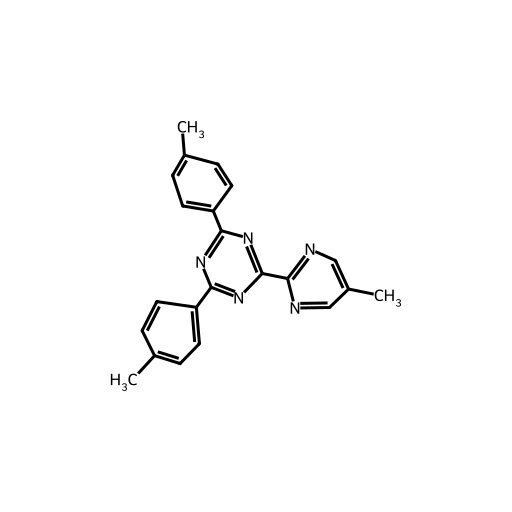 Cc1ccc(-c2nc(-c3ccc(C)cc3)nc(-c3ncc(C)cn3)n2)cc1